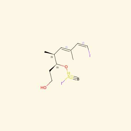 B#[SH](I)O[C@@H](CCO)[C@@H](C)/C=C(C)/C=C\I